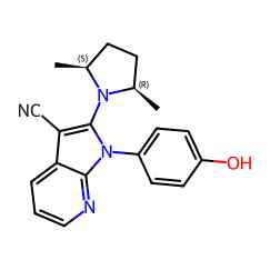 C[C@@H]1CC[C@H](C)N1c1c(C#N)c2cccnc2n1-c1ccc(O)cc1